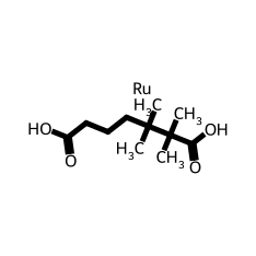 CC(C)(CCCC(=O)O)C(C)(C)C(=O)O.[Ru]